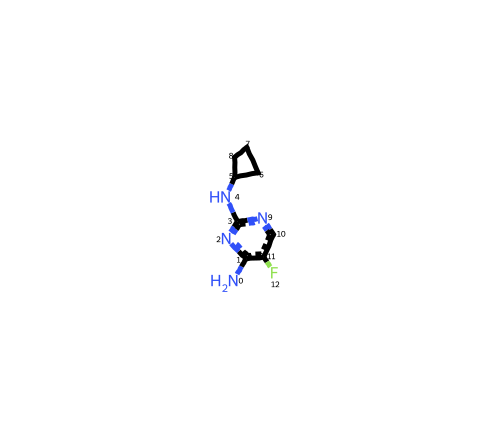 Nc1nc(NC2CCC2)ncc1F